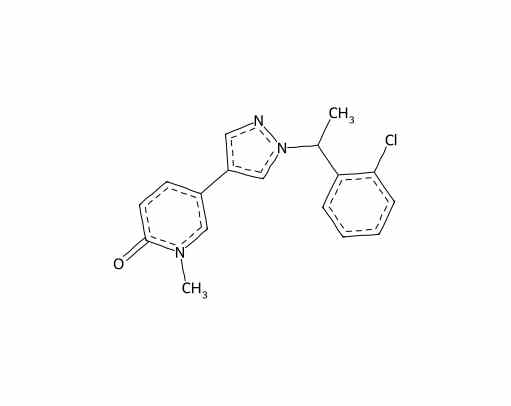 CC(c1ccccc1Cl)n1cc(-c2ccc(=O)n(C)c2)cn1